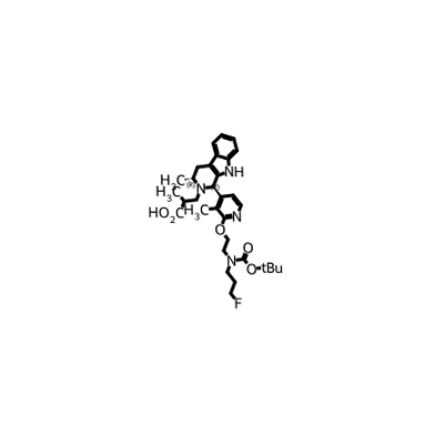 Cc1c([C@@H]2c3[nH]c4ccccc4c3C[C@@H](C)N2CC(C)C(=O)O)ccnc1OCCN(CCCF)C(=O)OC(C)(C)C